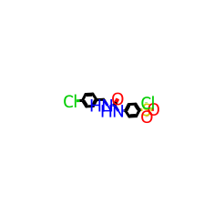 O=C(NCc1ccc(Cl)cc1)Nc1ccc(S(=O)(=O)Cl)cc1